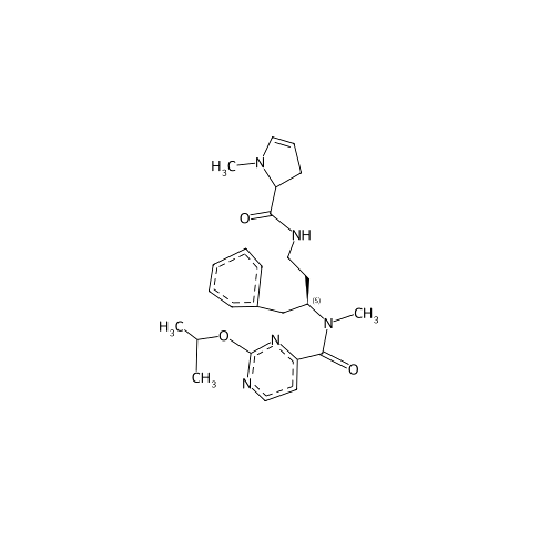 CC(C)Oc1nccc(C(=O)N(C)[C@H](CCNC(=O)C2CC=CN2C)Cc2ccccc2)n1